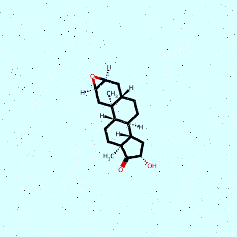 C[C@]12C[C@H]3O[C@H]3C[C@@H]1CC[C@@H]1[C@@H]2CC[C@]2(C)C(=O)[C@@H](O)C[C@@H]12